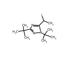 CC(I)c1nc(C(C)(C)C)nn1C(C)(C)C